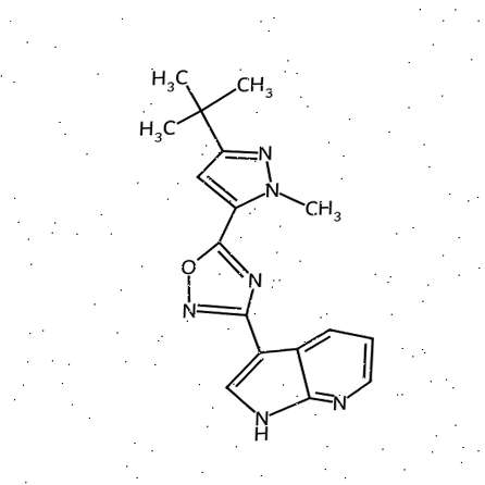 Cn1nc(C(C)(C)C)cc1-c1nc(-c2c[nH]c3ncccc23)no1